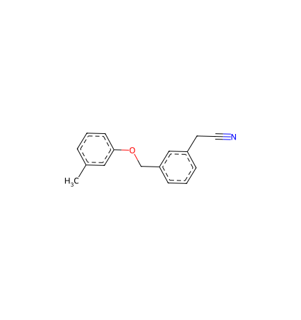 Cc1cccc(OCc2cccc(CC#N)c2)c1